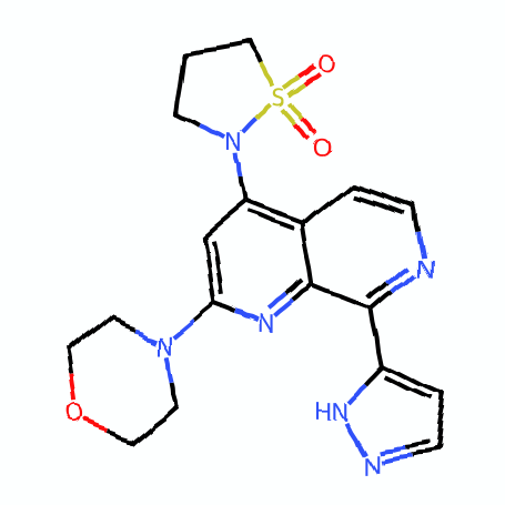 O=S1(=O)CCCN1c1cc(N2CCOCC2)nc2c(-c3ccn[nH]3)nccc12